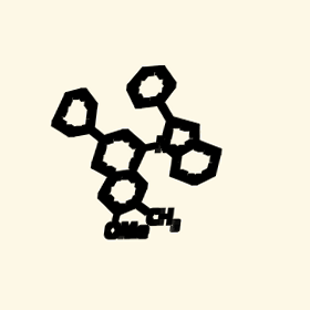 COc1cc2cc(-c3ccccc3)cc(-n3c(-c4ccccc4)cc4ccccc43)c2cc1C